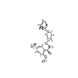 CCOc1ccc([N+](=O)[O-])cc1C(=O)N(C)Cc1cccc(-c2nccs2)c1